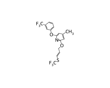 Cc1cc(OCC=CSC(F)(F)F)nc(Oc2cccc(C(F)(F)F)c2)c1